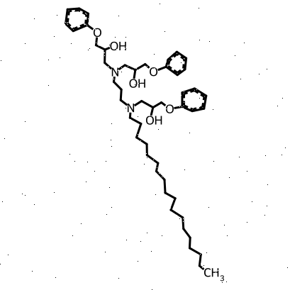 CCCCCCCCCCCCCCCCCCN(CCCN(CC(O)COc1ccccc1)CC(O)COc1ccccc1)CC(O)COc1ccccc1